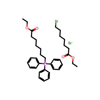 CCOC(=O)CCCCCCBr.CCOC(=O)CCCCCC[P+](c1ccccc1)(c1ccccc1)c1ccccc1.[Br-]